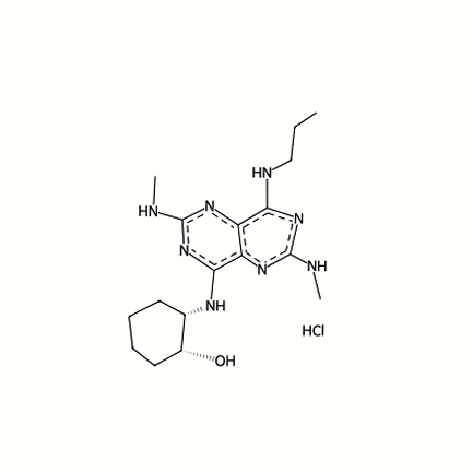 CCCNc1nc(NC)nc2c(N[C@H]3CCCC[C@H]3O)nc(NC)nc12.Cl